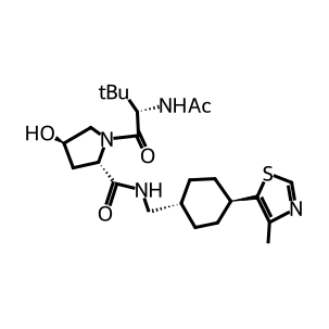 CC(=O)N[C@H](C(=O)N1C[C@H](O)C[C@H]1C(=O)NC[C@H]1CC[C@H](c2scnc2C)CC1)C(C)(C)C